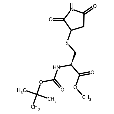 COC(=O)[C@H](CSC1CC(=O)NC1=O)NC(=O)OC(C)(C)C